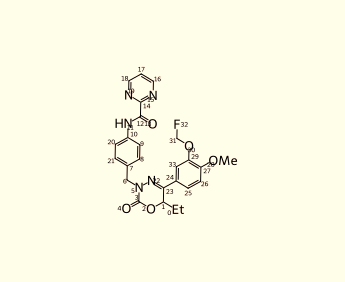 CCC1OC(=O)N(Cc2ccc(NC(=O)c3ncccn3)cc2)N=C1c1ccc(OC)c(OCF)c1